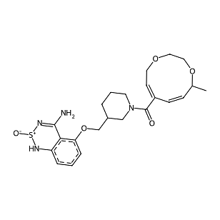 CC1/C=C\C(C(=O)N2CCCC(COc3cccc4c3C(N)=N[S+]([O-])N4)C2)=C/COCCO1